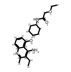 CCOCC(=O)N[C@H]1CC[C@H](Oc2cccc3nc(C)c(CC)c(N)c23)CC1